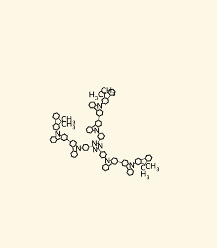 CC1(C)c2ccccc2-c2ccc(-n3c4ccccc4c4cc(-c5ccc6c(c5)c5ccccc5n6-c5ccc(-c6nc(-c7ccc(-n8c9ccccc9c9cc(-c%10ccc%11c(c%10)c%10ccccc%10n%11-c%10ccc%11c(c%10)C(C)(C)c%10ccccc%10-%11)ccc98)cc7)nc(-c7cccc(-n8c9ccccc9c9cc(-c%10ccc%11c(c%10)c%10ccccc%10n%11-c%10ccc%11c(c%10)C(C)(C)c%10ccccc%10-%11)ccc98)c7)n6)cc5)ccc43)cc21